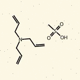 C=CCN(CC=C)CC=C.CS(=O)(=O)O